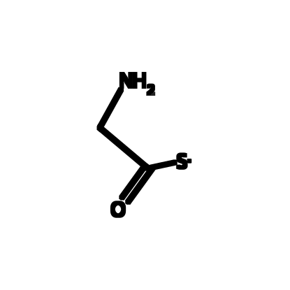 NCC(=O)[S]